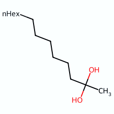 CCCCCCCCCCCCC(C)(O)O